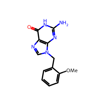 COc1ccccc1Cn1cnc2c(=O)[nH]c(N)nc21